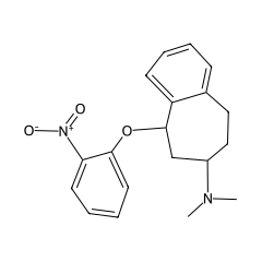 CN(C)C1CCc2ccccc2C(Oc2ccccc2[N+](=O)[O-])C1